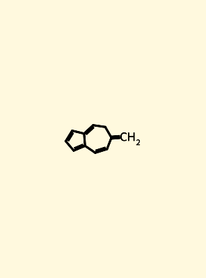 C=C1C=CC2=CC=CC2=CC1